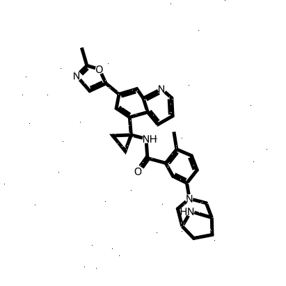 Cc1ncc(-c2cc(C3(NC(=O)c4cc(N5CC6CCC(C5)N6)ccc4C)CC3)c3cccnc3c2)o1